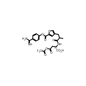 CC(Cc1coc(C(=O)Oc2ccc(C(=N)N)cc2)c1)C(=O)N[C@@H](CC(=O)OC(=O)C(F)(F)F)C(=O)O